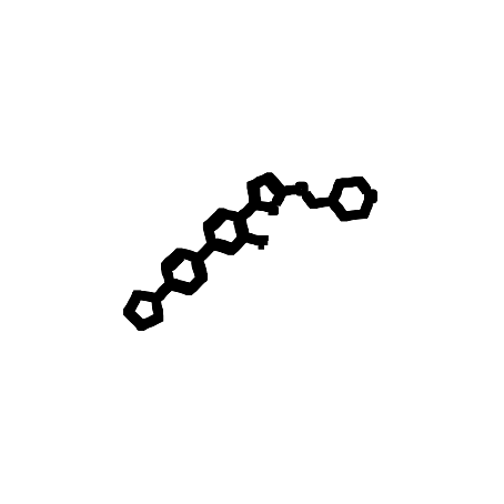 Fc1cc(-c2ccc(C3CCCC3)cc2)ccc1-c1ccc(OCC2CCOCC2)s1